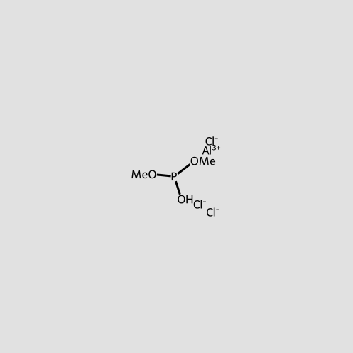 COP(O)OC.[Al+3].[Cl-].[Cl-].[Cl-]